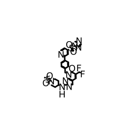 CS(=O)(=O)N1CCC(Nc2ncc3cc(C(F)F)c(=O)n(Cc4ccc(-c5cc(S(=O)(=O)n6cncn6)ccn5)cc4)c3n2)CC1